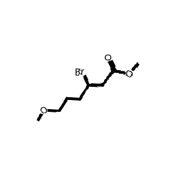 COCCCC(Br)CC(=O)OC